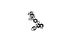 Cn1cnc2cnc(NC3CCC(Oc4nc(N5CCOCC5)cc5ncccc45)CC3)nc21